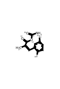 CC(=Cc1cc(I)ccc1I)C(=O)OC(N)=O